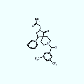 NC(=O)CN1CN(c2ccccc2)C2(CCN(C(=O)c3cc(C(F)(F)F)cc(C(F)(F)F)c3)CC2)C1=O